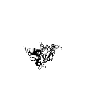 CCOc1c(NC(=O)c2ccc(C)c(Oc3ccnc(CC4CCN(OC(=O)OC(C)(C)C)CC4)c3)c2)cc(C(C)(C)C)cc1NS(C)(=O)=O